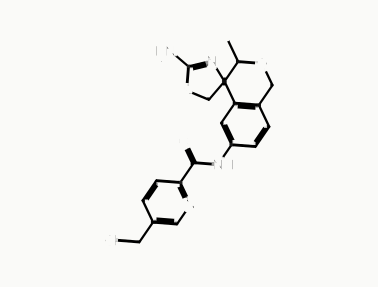 CC1OCc2ccc(NC(=O)c3ccc(CCl)cn3)cc2C12CSC(N)=N2